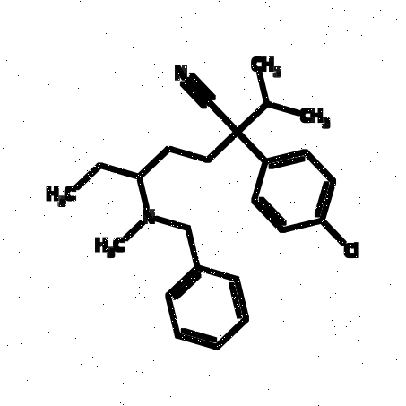 CCC(CCC(C#N)(c1ccc(Cl)cc1)C(C)C)N(C)Cc1ccccc1